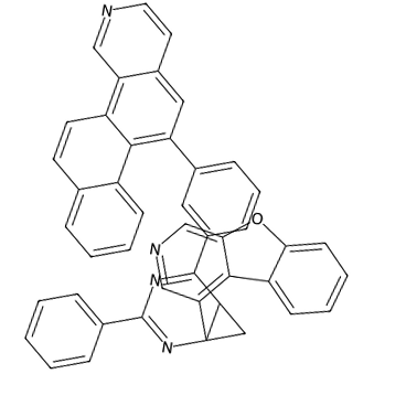 c1ccc(C2=NC3(c4cncc5oc6ccccc6c45)CC3C(c3cccc(-c4cc5ccncc5c5ccc6ccccc6c45)c3)=N2)cc1